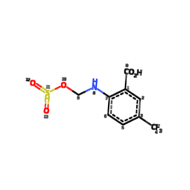 O=C(O)c1cc(C(F)(F)F)ccc1NCO[SH](=O)=O